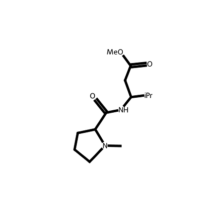 COC(=O)CC(NC(=O)C1CCCN1C)C(C)C